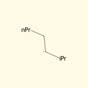 C[CH]CC[CH]C(C)C